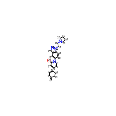 CC1CC=C(c2ccn(-c3ccc4c(cnn4CCN4CCCC4)c3)c(=O)c2)CC1